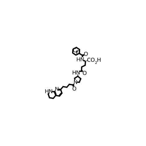 O=C(CC[C@H](NC(=O)C12CCC(CC1)CC2)C(=O)O)N[C@H]1CCN(C(=O)CCCc2ccc3c(n2)NCCC3)C1